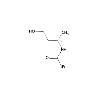 CC(C)C(=O)N[C@@H](C)CCO